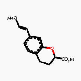 CCOC(=O)C1CCc2ccc(/C=C/OC)cc2O1